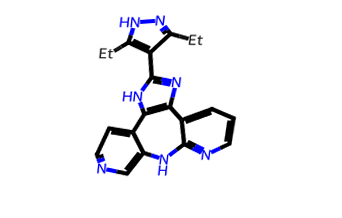 CCc1n[nH]c(CC)c1-c1nc2c([nH]1)-c1ccncc1Nc1ncccc1-2